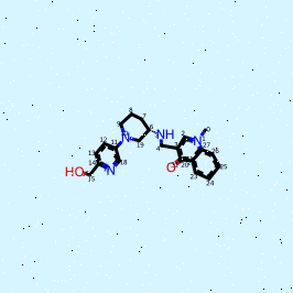 Cn1cc(CN[C@H]2CCCN(c3ccc(CO)nc3)C2)c(=O)c2ccccc21